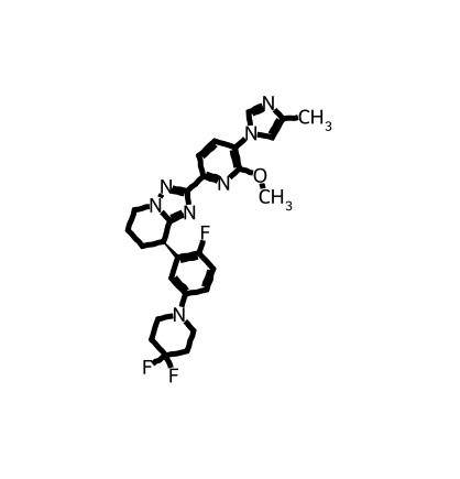 COc1nc(-c2nc3n(n2)CCC[C@@H]3c2cc(N3CCC(F)(F)CC3)ccc2F)ccc1-n1cnc(C)c1